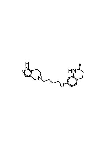 C=C1CCc2ccc(OCCCCN3CCc4[nH]ncc4C3)cc2N1